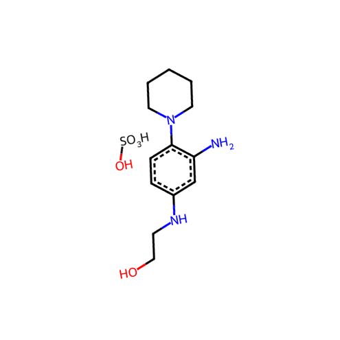 Nc1cc(NCCO)ccc1N1CCCCC1.O=S(=O)(O)O